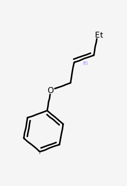 CC/C=C/COc1cc[c]cc1